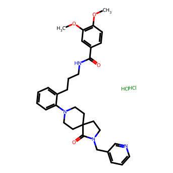 COc1ccc(C(=O)NCCCc2ccccc2N2CCC3(CCN(Cc4cccnc4)C3=O)CC2)cc1OC.Cl.Cl